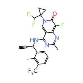 C#C[C@@H](Nc1nc(C)nc2c(F)c(=O)n(C3(C(F)F)CC3)cc12)c1cccc(C(F)(F)F)c1C